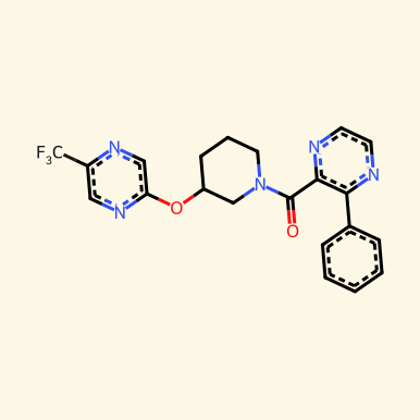 O=C(c1nccnc1-c1ccccc1)N1CCCC(Oc2cnc(C(F)(F)F)cn2)C1